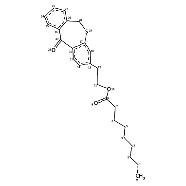 CCCCCCCCC(=O)OCCc1ccc2c(c1)SCc1ccccc1C2=O